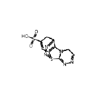 O=S(=O)(O)C1=CC2=C3C(=NN=S2C2=NN=CCN23)C1